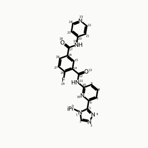 CC(C)n1cnnc1-c1cccc(NC(=O)c2cc(C(=O)Nc3ccncc3)ccc2F)n1